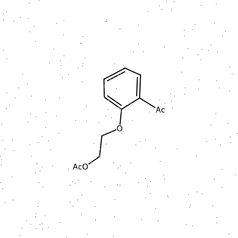 CC(=O)OCCOc1ccccc1C(C)=O